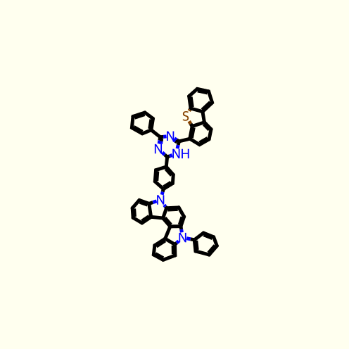 c1ccc(C2=NC(c3ccc(-n4c5ccccc5c5c6c7ccccc7n(-c7ccccc7)c6ccc54)cc3)NC(c3cccc4c3sc3ccccc34)=N2)cc1